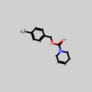 O=C(OCc1ccc([N+](=O)[O-])cc1)N1CC=CCC1